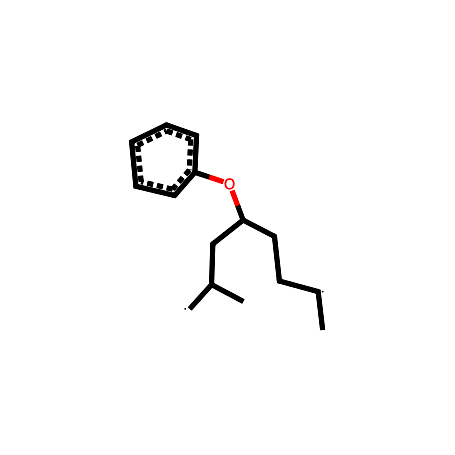 [CH2]C(C)CC(CC[CH]C)Oc1ccccc1